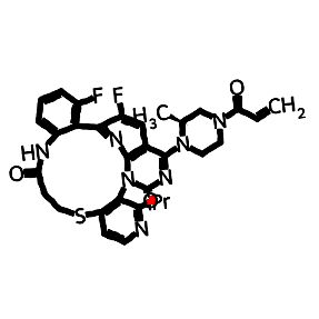 C=CC(=O)N1CCN(c2nc(=O)n3c4nc(c(F)cc24)-c2c(F)cccc2NC(=O)CCSc2ccnc(C(C)C)c2-3)[C@@H](C)C1